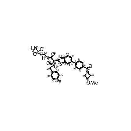 COC1CN(C(=O)c2ccc(-c3ccc4nc(C(C(=O)NCCS(N)(=O)=O)S(=O)(=O)Cc5ccc(F)cc5)sc4c3)cc2)C1